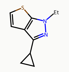 CCn1nc(C2CC2)c2ccsc21